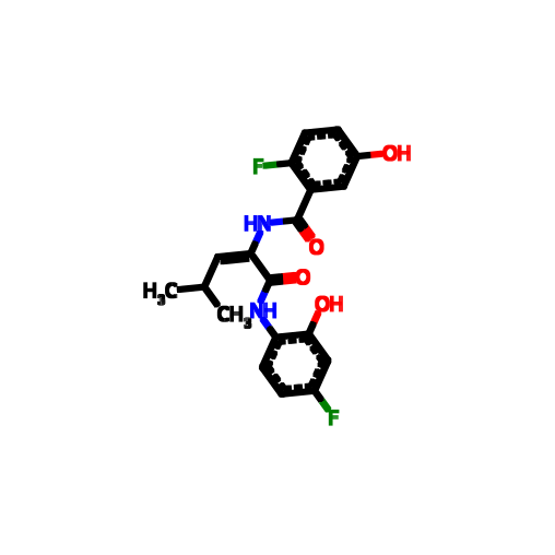 CC(C)/C=C(/NC(=O)c1cc(O)ccc1F)C(=O)Nc1ccc(F)cc1O